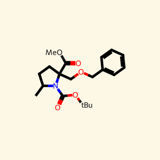 COC(=O)C1(COCc2ccccc2)CCC(C)N1C(=O)OC(C)(C)C